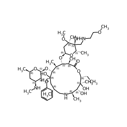 CC[C@H]1OC(=O)[C@H](C)[C@@H](O[C@H]2C[C@@](C)(OC)[C@](O)(CNCCOC)[C@H](C)O2)[C@H](C)[C@@H](O[C@@H]2O[C@H](C)C[C@H](NC)[C@H]2Oc2ccccc2)[C@](C)(O)C[C@@H](C)CN[C@H](C)[C@@H](O)[C@]1(C)O